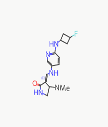 CNC1CNC(=O)/C1=C/Nc1ccc(NC2CC(F)C2)nc1